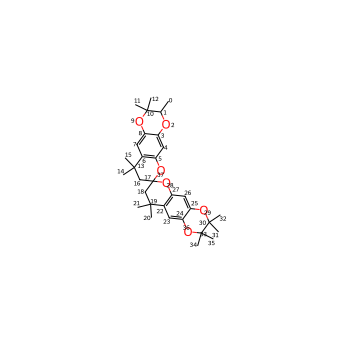 CC1Oc2cc3c(cc2OC1(C)C)C(C)(C)CC1(CC(C)(C)c2cc4c(cc2O1)OC(C)(C)C(C)(C)O4)O3